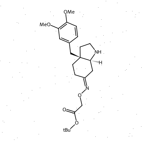 COc1ccc(C[C@@]23CCN[C@H]2CC(=NOCC(=O)OC(C)(C)C)CC3)cc1OC